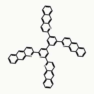 c1ccc2cc3nc(-c4cc(-c5cc(-c6ccc7cc8ccccc8cc7n6)nc(-c6ccc7cc8ccccc8cc7n6)c5)cc(-c5ccc6cc7ccccc7cc6n5)c4)ccc3cc2c1